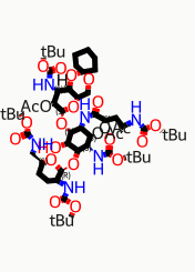 CC(=O)OC1[C@@H](O[C@@H]2C(O)C(O[C@H]3O[C@H](CNC(=O)OC(C)(C)C)CCC3NC(=O)OC(C)(C)C)[C@@H](NC(=O)OC(C)(C)C)[C@@H](OC(C)=O)C2NC(=O)[C@H](CCNC(=O)OC(C)(C)C)OC(C)=O)OC2COC3(CCCCC3)O[C@H]2[C@@H]1NC(=O)OC(C)(C)C